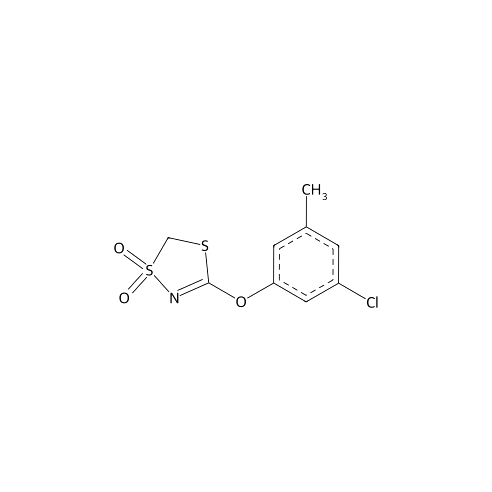 Cc1cc(Cl)cc(OC2=NS(=O)(=O)CS2)c1